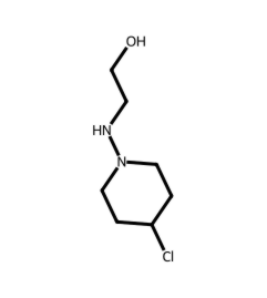 OCCNN1CCC(Cl)CC1